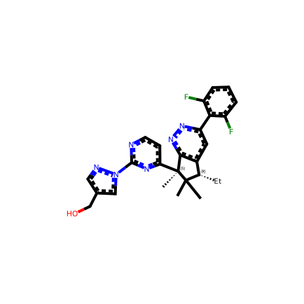 CC[C@H]1c2cc(-c3c(F)cccc3F)nnc2[C@](C)(c2ccnc(-n3cc(CO)cn3)n2)C1(C)C